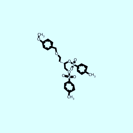 COc1ccc(COCC[C@@H](COS(=O)(=O)c2ccc(C)cc2)OS(=O)(=O)c2ccc(C)cc2)cc1